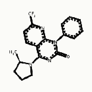 C[C@@H]1CCCN1c1nc(=O)n(-c2ccccc2)c2nc(C(F)(F)F)ccc12